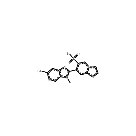 CCS(=O)(=O)c1cn2ccnc2cc1-c1nc2cc(C(F)(F)F)ncc2n1C